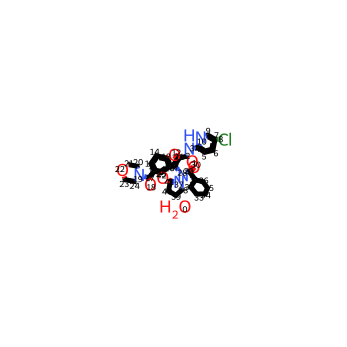 O.O=C(Nc1ccc(Cl)cn1)c1oc2ccc(C(=O)N3CCOCC3)cc2c1N(C(=O)C1CCCCC1)N1CCCC1=O